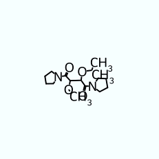 COC(C(=O)N1CCCC1)C(OC(C)C)C(=O)N1CCCC1